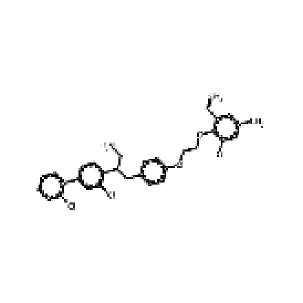 C=Cc1cc(C)cc(Cl)c1OCCOc1ccc(CC(CN)c2ccc(-c3ccccc3Cl)cc2Cl)cc1